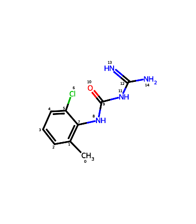 Cc1cccc(Cl)c1NC(=O)NC(=N)N